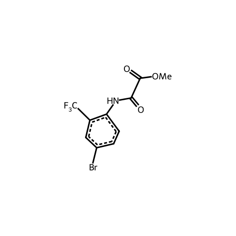 COC(=O)C(=O)Nc1ccc(Br)cc1C(F)(F)F